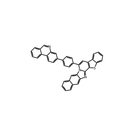 c1ccc2cc3c(cc2c1)nc1c2sc4ccccc4c2cc(-c2ccc(-c4ccc5c(c4)ncc4ccccc45)cc2)n31